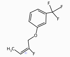 C/C=C(/F)COc1cccc(C(F)(F)F)c1